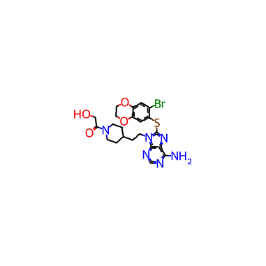 Nc1ncnc2c1nc(Sc1cc3c(cc1Br)OCCO3)n2CCC1CCN(C(=O)CO)CC1